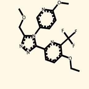 CCOc1ccc(-c2nnc(COC)n2-c2ccc(OC)nc2)nc1C(F)(F)F